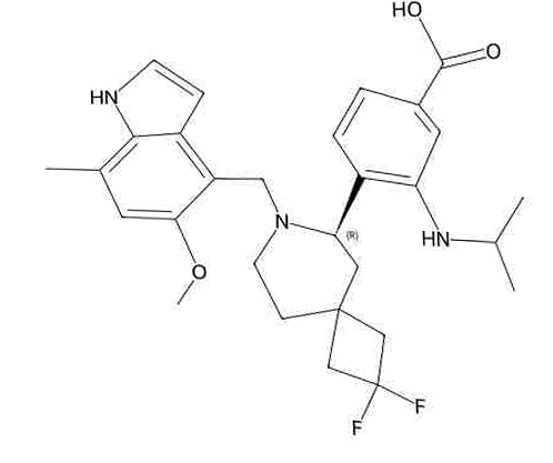 COc1cc(C)c2[nH]ccc2c1CN1CCC2(C[C@@H]1c1ccc(C(=O)O)cc1NC(C)C)CC(F)(F)C2